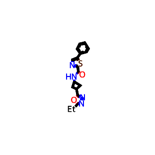 CCc1nnc(C2CC(NC(=O)c3ncc(-c4ccccc4)s3)C2)o1